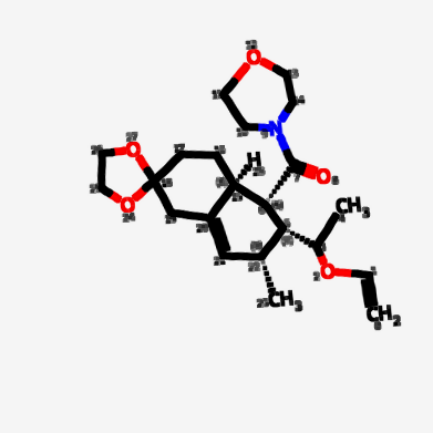 C=COC(C)[C@H]1[C@@H](C(=O)N2CCOCC2)[C@@H]2CCC3(CC2=C[C@H]1C)OCCO3